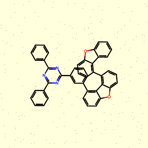 c1ccc(-c2nc(-c3ccccc3)nc(-c3cccc(-c4cccc5oc6cccc(-c7cccc8oc9ccccc9c78)c6c45)c3)n2)cc1